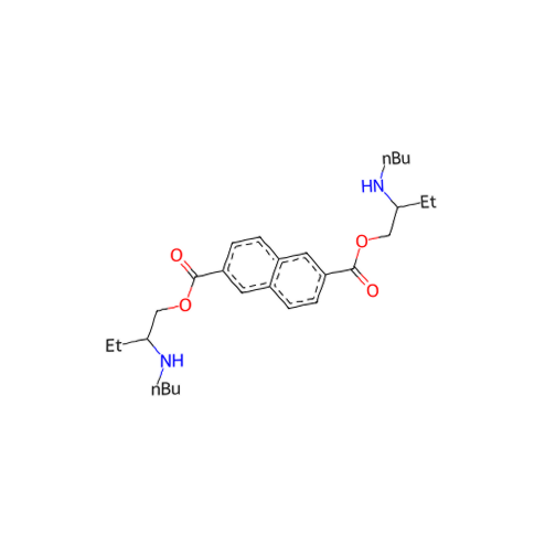 CCCCNC(CC)COC(=O)c1ccc2cc(C(=O)OCC(CC)NCCCC)ccc2c1